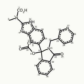 CN(C(=O)O)c1nc2cc(C3(OC(=O)C(F)(F)F)c4ccccc4C(=O)N3Cc3cccnc3)ccc2[nH]1